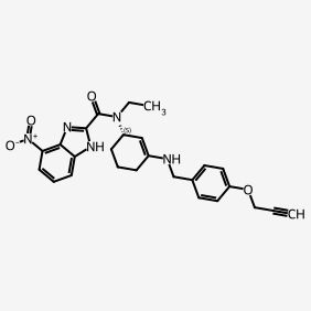 C#CCOc1ccc(CNC2=C[C@@H](N(CC)C(=O)c3nc4c([N+](=O)[O-])cccc4[nH]3)CCC2)cc1